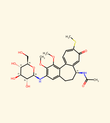 COc1c(N[C@@H]2O[C@H](CO)[C@@H](O)[C@H](O)[C@H]2O)cc2c(c1OC)-c1ccc(SC)c(=O)cc1[C@@H](NC(C)=O)CC2